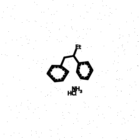 CCC(Cc1ccccc1)c1ccccc1.Cl.N